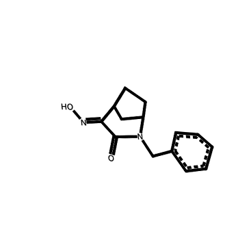 O=C1C(=NO)C2CCC(C2)N1Cc1ccccc1